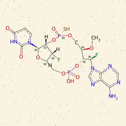 CO[C@@H]1CO[P@@](=O)(S)O[C@@H]2[C@H](F)[C@@H](COP(=O)(O)O[C@H]1[C@@H](F)n1cnc3c(N)ncnc31)O[C@H]2n1ccc(=O)[nH]c1=O